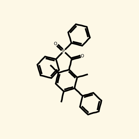 Cc1cc(C)c(-c2ccccc2)c(C)c1C(=O)P(=O)(c1ccccc1)c1ccccc1